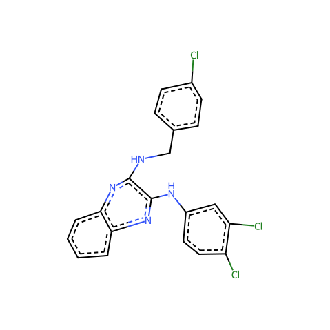 Clc1ccc(CNc2nc3ccccc3nc2Nc2ccc(Cl)c(Cl)c2)cc1